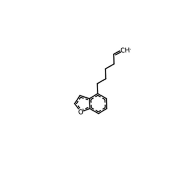 [CH]=CCCCCc1cccc2occc12